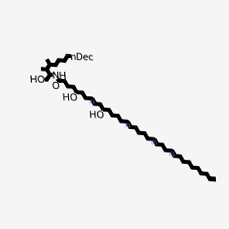 C=CCCCCCCC/C=C/CC/C=C/CCCC/C=C/CCCCC(O)C/C=C/CCC(O)CCCC(=O)NC(CO)C(C)C(C)CCCCCCCCCCCCCC